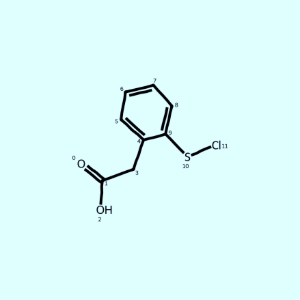 O=C(O)Cc1ccccc1SCl